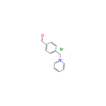 O=Cc1ccc(C[n+]2ccccc2)cc1.[Br-]